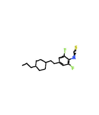 CCCC1CCC(CCc2cc(F)c(N=C=S)c(F)c2)CC1